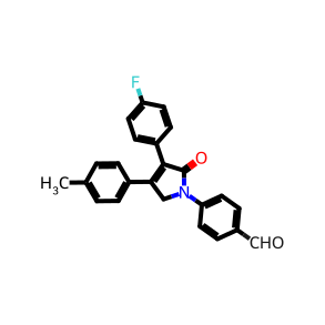 Cc1ccc(C2=C(c3ccc(F)cc3)C(=O)N(c3ccc(C=O)cc3)C2)cc1